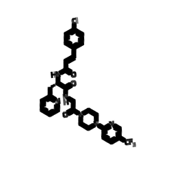 O=C(C=Cc1ccc(Cl)cc1)N[C@@H](Cc1ccccn1)C(=O)NCC(=O)N1CCN(c2ccc(C(F)(F)F)cn2)CC1